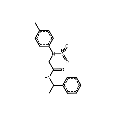 Cc1ccc(N(CC(=O)NC(C)c2ccccc2)[SH](=O)=O)cc1